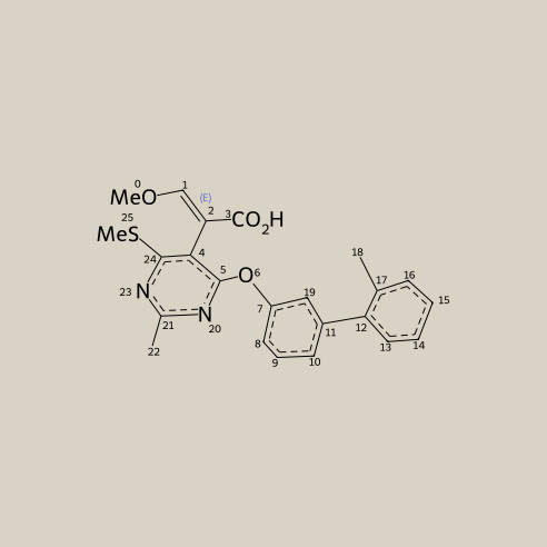 CO/C=C(/C(=O)O)c1c(Oc2cccc(-c3ccccc3C)c2)nc(C)nc1SC